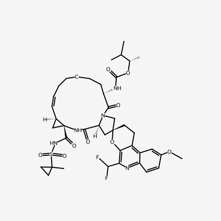 COc1ccc2nc(C(F)F)c3c(c2c1)CC[C@]1(C[C@H]2C(=O)N[C@]4(C(=O)NS(=O)(=O)C5(C)CC5)C[C@H]4/C=C\CCCCC[C@H](NC(=O)O[C@@H](C)C(C)C)C(=O)N2C1)O3